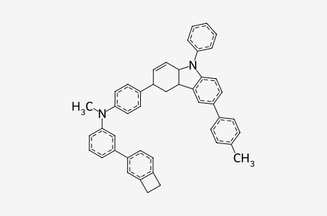 Cc1ccc(-c2ccc3c(c2)C2CC(c4ccc(N(C)c5cccc(-c6ccc7c(c6)CC7)c5)cc4)C=CC2N3c2ccccc2)cc1